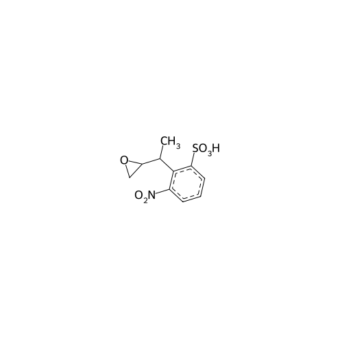 CC(c1c([N+](=O)[O-])cccc1S(=O)(=O)O)C1CO1